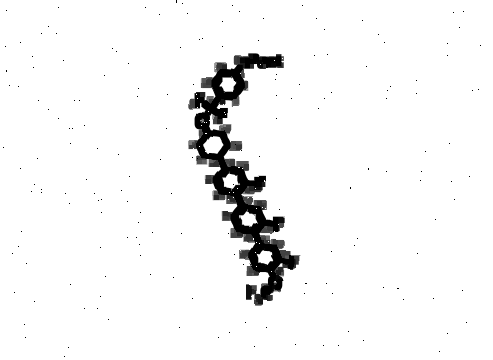 CCCCCc1ccc(C(F)(F)OC2CCC(c3ccc(-c4ccc(-c5ccc(OC(F)(F)F)c(F)c5)c(F)c4)c(F)c3)CC2)cc1